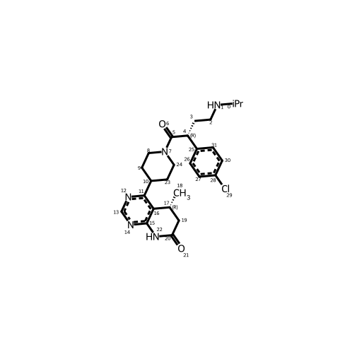 CC(C)NCC[C@@H](C(=O)N1CCC(c2ncnc3c2[C@H](C)CC(=O)N3)CC1)c1ccc(Cl)cc1